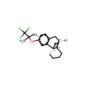 BC(B)(Oc1ccc2c(c1)[C@]13CCCC[C@@H]1[C@@H](CCC3)C2)C(F)(F)F